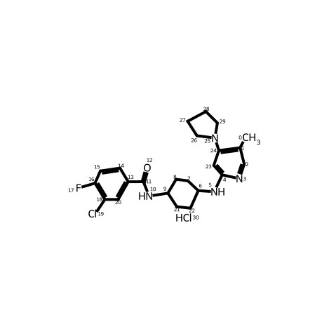 Cc1cnc(NC2CCC(NC(=O)c3ccc(F)c(Cl)c3)CC2)cc1N1CCCC1.Cl